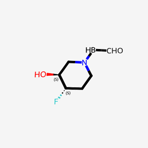 O=CBN1CC[C@H](F)[C@@H](O)C1